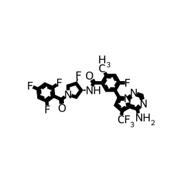 Cc1cc(F)c(-c2cc(C(F)(F)F)c3c(N)ncnn23)cc1C(=O)N[C@@H]1CN(C(=O)c2c(F)cc(F)cc2F)C[C@@H]1F